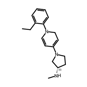 CCc1ccccc1N1C=CC(N2CC[C@H](NC)C2)=CC1